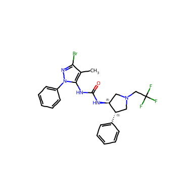 Cc1c(Br)nn(-c2ccccc2)c1NC(=O)N[C@H]1CN(CC(F)(F)F)C[C@@H]1c1ccccc1